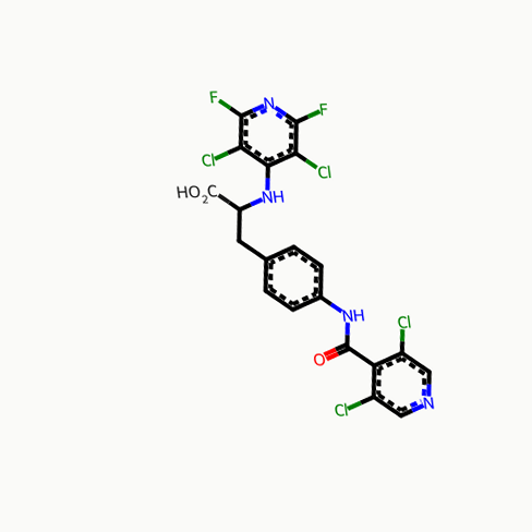 O=C(Nc1ccc(CC(Nc2c(Cl)c(F)nc(F)c2Cl)C(=O)O)cc1)c1c(Cl)cncc1Cl